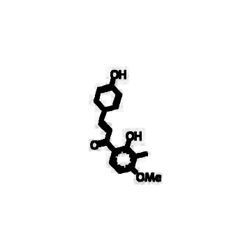 COc1ccc(C(=O)C=CC2C=CC(O)=CC2)c(O)c1C